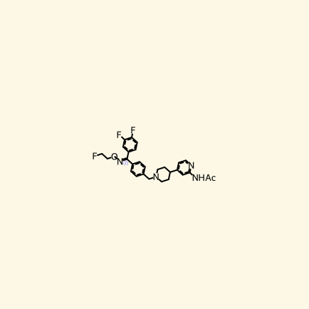 CC(=O)Nc1cc(C2CCN(Cc3ccc(/C(=N/OCCF)c4ccc(F)c(F)c4)cc3)CC2)ccn1